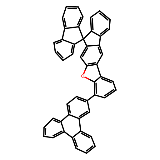 c1ccc2c(c1)-c1ccccc1C21c2ccccc2-c2cc3c(cc21)oc1c(-c2ccc4c5ccccc5c5ccccc5c4c2)cccc13